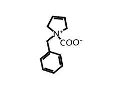 O=C([O-])[N+]1(Cc2ccccc2)CC=CC1